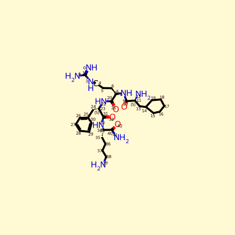 N=C(N)NCCC[C@@H](NC(=O)[C@@H](N)CC1CCCCC1)C(=O)N[C@@H](Cc1ccccc1)C(=O)N[C@@H](CCCCN)C(N)=O